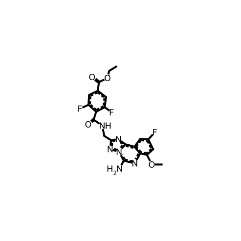 CCOC(=O)c1cc(F)c(C(=O)NCc2nc3c4cc(F)cc(OC)c4nc(N)n3n2)c(F)c1